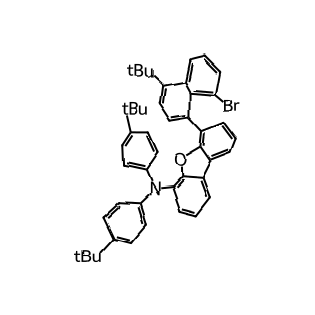 CC(C)(C)c1ccc(N(c2ccc(C(C)(C)C)cc2)c2cccc3c2oc2c(-c4ccc(C(C)(C)C)c5cccc(Br)c45)cccc23)cc1